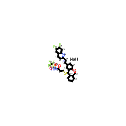 O=C(CCSC1c2ccccc2COc2ccc(/C=C/c3ccc4cc(F)c(F)cc4n3)cc21)NS(=O)(=O)C(F)(F)F.[NaH]